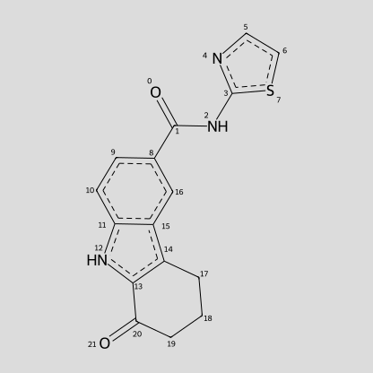 O=C(Nc1nccs1)c1ccc2[nH]c3c(c2c1)CCCC3=O